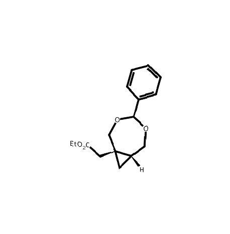 CCOC(=O)C[C@@]12COC(c3ccccc3)OC[C@@H]1C2